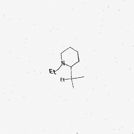 CCN1CCCCC1C(C)(C)CC